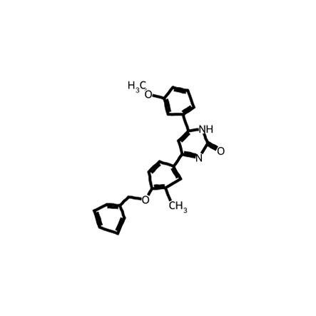 COc1cccc(-c2cc(-c3ccc(OCc4ccccc4)c(C)c3)nc(=O)[nH]2)c1